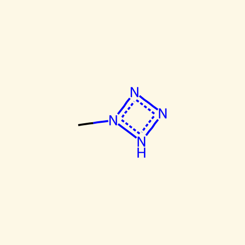 Cn1nn[nH]1